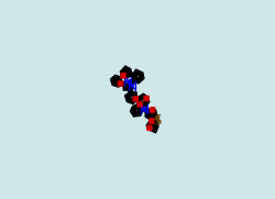 c1ccc(-c2cc(-c3cccc(-c4cccc5c4c4ccccc4n5-c4ccc5sc6ccccc6c5c4)c3)nc(-c3ccccc3-c3ccccc3)n2)cc1